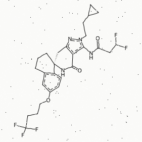 O=C(CC(F)F)Nc1c2c(nn1CCC1CC1)C[C@]1(CCCc3cc(OCCCC(F)(F)F)ccc31)NC2=O